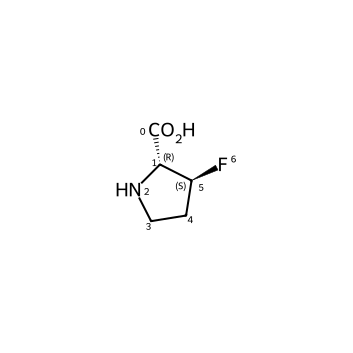 O=C(O)[C@H]1NCC[C@@H]1F